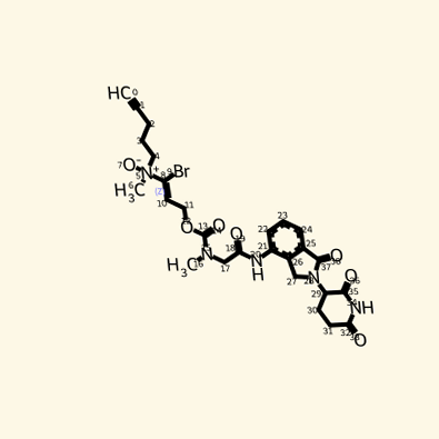 C#CCCC[N+](C)([O-])/C(Br)=C/COC(=O)N(C)CC(=O)Nc1cccc2c1CN(C1CCC(=O)NC1=O)C2=O